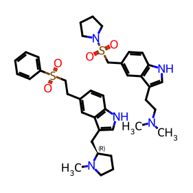 CN(C)CCc1c[nH]c2ccc(CS(=O)(=O)N3CCCC3)cc12.CN1CCC[C@@H]1Cc1c[nH]c2ccc(CCS(=O)(=O)c3ccccc3)cc12